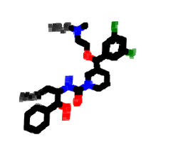 CNCC(NC(=O)N1CCCC(C(OCCN(C)C(=O)O)c2cc(F)cc(F)c2)C1)C(O)C1CCCCC1